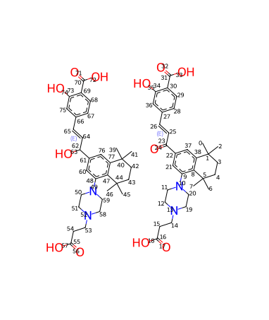 CC1(C)CCC(C)(C)c2c(N3CCN(CCC(=O)O)CC3)cc(C(=O)/C=C/c3ccc(C(=O)O)c(O)c3)cc21.CC1(C)CCC(C)(C)c2c(N3CCN(CCC(=O)O)CC3)cc(C(O)/C=C/c3ccc(C(=O)O)c(O)c3)cc21